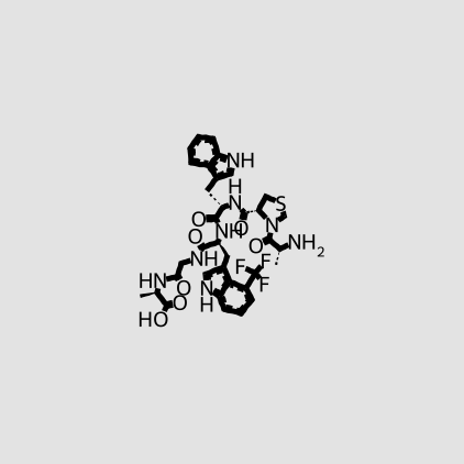 C[C@@H](N)C(=O)N1CSC[C@H]1C(=O)N[C@@H](Cc1c[nH]c2ccccc12)C(=O)N[C@@H](Cc1c[nH]c2cccc(C(F)(F)F)c12)C(=O)NCC(=O)N[C@H](C)C(=O)O